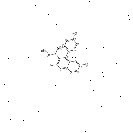 CCCCOC(C(=O)O)c1c(C)cc2ccc(CC)cc2c1-c1ccc(Cl)cc1